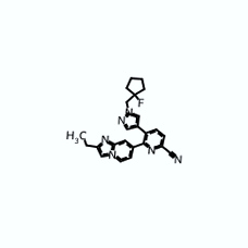 CCc1cn2ccc(-c3nc(C#N)ccc3-c3cnn(CC4(F)CCCC4)c3)cc2n1